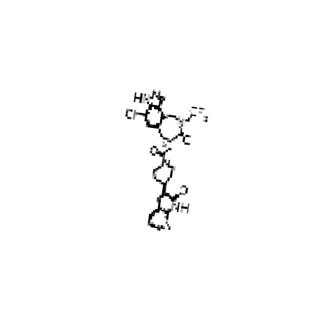 O=C(C[C@@H]1Cc2cc(Cl)c3[nH]ncc3c2CN(CC(F)(F)F)C1=O)N1CCC(c2cc3cccnc3[nH]c2=O)CC1